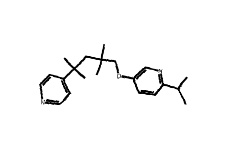 CC(C)c1ccc(OCC(C)(C)CC(C)(C)c2ccncc2)cn1